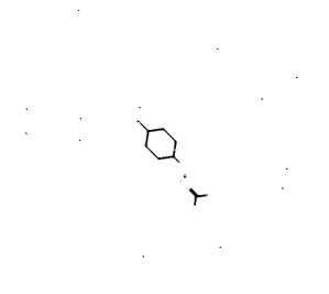 CC(=O)C(=NOC1CCC(Cl)CC1)C(=O)O